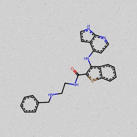 O=C(NCCNCc1ccccc1)c1sc2ccccc2c1Nc1ccnc2[nH]ccc12